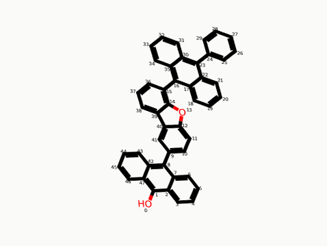 Oc1c2ccccc2c(-c2ccc3oc4c(-c5c6ccccc6c(-c6ccccc6)c6ccccc56)cccc4c3c2)c2ccccc12